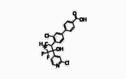 CC(c1ccc(-c2ccc(C(=O)O)cc2)cc1Cl)C(O)(c1ccnc(Cl)c1)C(F)(F)F